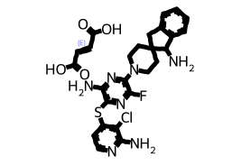 Nc1nc(N2CCC3(CC2)Cc2ccccc2C3N)c(F)nc1Sc1ccnc(N)c1Cl.O=C(O)/C=C/C(=O)O